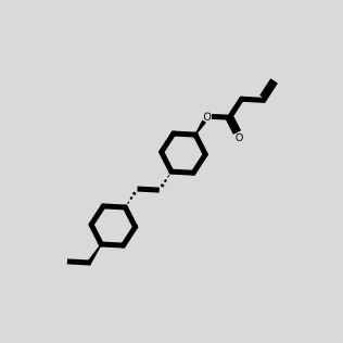 C=CCC(=O)O[C@H]1CC[C@H](CC[C@H]2CC[C@H](CC)CC2)CC1